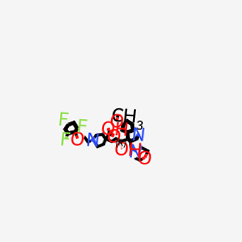 COc1ccc2ncc(CN3CCOCC3)c([C@H](O)CCC3(C(=O)O)CCN(CCOc4c(F)cc(F)cc4F)CC3)c2c1